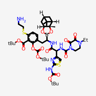 CCN1CCN(C(=O)NC(C(=O)NC(Cc2ccc(SCCN)c(C(=O)OC(C)(C)C)c2OC(=O)OC(C)(C)C)B2O[C@@H]3C[C@@H]4C[C@@H](C4(C)C)[C@]3(C)O2)c2csc(NC(=O)OC(C)(C)C)n2)C(=O)C1=O